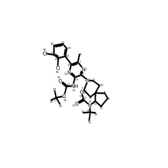 Cc1nc(N2CCC3(CCCC3N(C(=O)O)C(C)(C)C)CC2)c(NC(=O)OC(C)(C)C)nc1-c1cccc(Cl)c1Cl